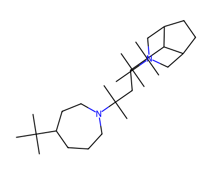 CC(C)(C)C1CCCN(C(C)(C)CCC(C)(C)C2C3CCC2CN(C(C)(C)C)C3)CC1